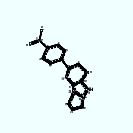 O=[N+]([O-])c1ccc(-c2cnc3[nH][n+]4cccn4c3n2)cc1